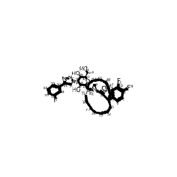 CN1C(=O)C2(c3ccc(F)c(F)c3)C=C=CCCCC[C@]1([C@@H]1O[C@H](CO)[C@H](O)[C@H](n3cc(-c4cccc(F)c4)nn3)[C@H]1O)CCCCCC2